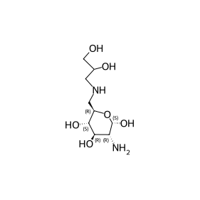 N[C@@H]1[C@@H](O)[C@H](O)[C@@H](CNCC(O)CO)O[C@@H]1O